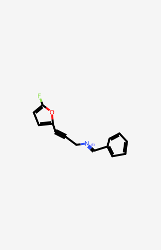 Fc1ccc(C#CC/N=C/c2ccccc2)o1